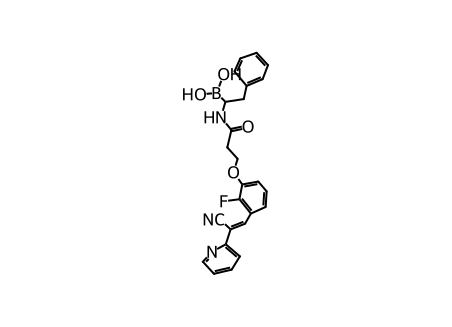 N#CC(=Cc1cccc(OCCC(=O)NC(Cc2ccccc2)B(O)O)c1F)c1ccccn1